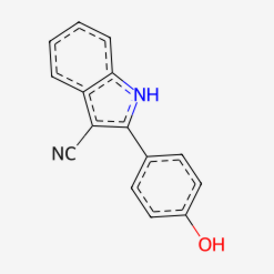 N#Cc1c(-c2ccc(O)cc2)[nH]c2ccccc12